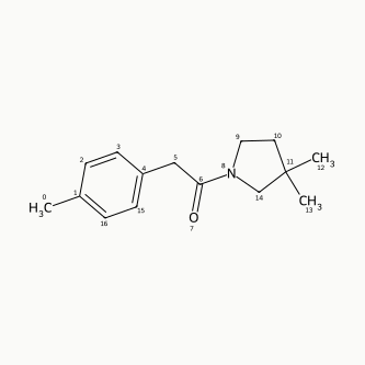 Cc1ccc(CC(=O)N2CCC(C)(C)C2)cc1